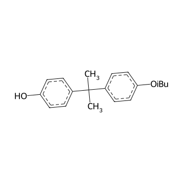 CC(C)COc1ccc(C(C)(C)c2ccc(O)cc2)cc1